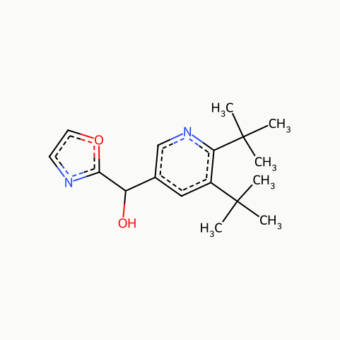 CC(C)(C)c1cc(C(O)c2ncco2)cnc1C(C)(C)C